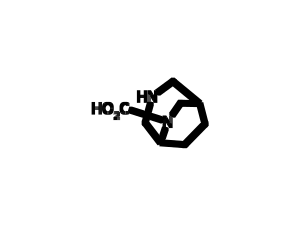 O=C(O)N1CC2CCC1CNC2